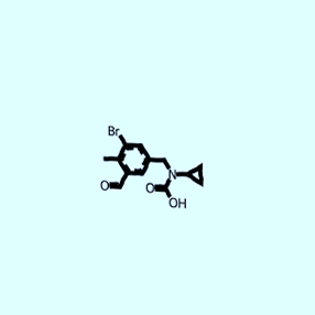 Cc1c(Br)cc(CN(C(=O)O)C2CC2)cc1C=O